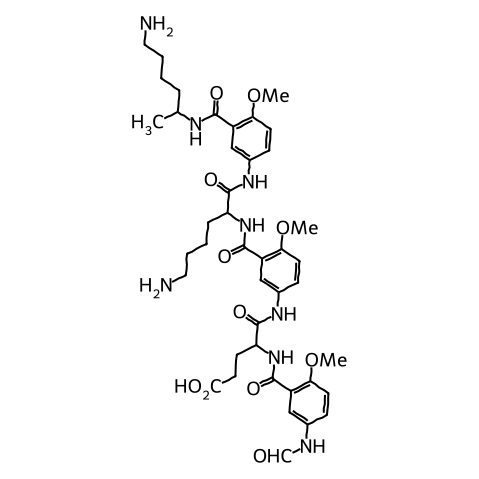 COc1ccc(NC(=O)C(CCCCN)NC(=O)c2cc(NC(=O)C(CCC(=O)O)NC(=O)c3cc(NC=O)ccc3OC)ccc2OC)cc1C(=O)NC(C)CCCCN